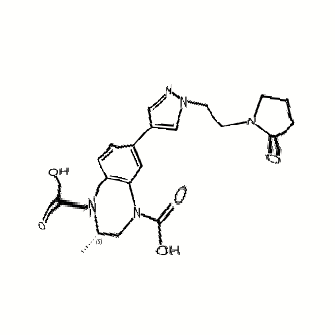 C[C@H]1CN(C(=O)O)c2cc(-c3cnn(CCN4CCCC4=O)c3)ccc2N1C(=O)O